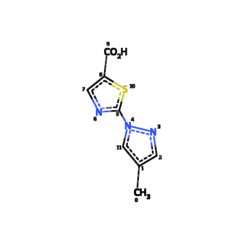 Cc1cnn(-c2ncc(C(=O)O)s2)c1